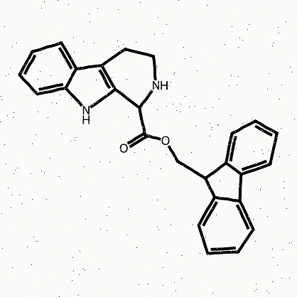 O=C(OCC1c2ccccc2-c2ccccc21)C1NCCc2c1[nH]c1ccccc21